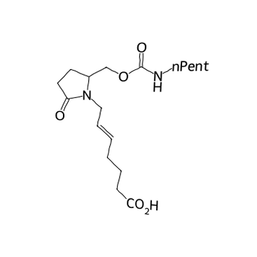 CCCCCNC(=O)OCC1CCC(=O)N1CC=CCCCC(=O)O